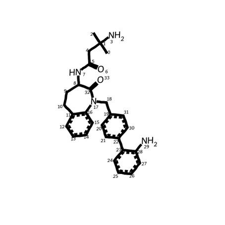 CC(C)(N)CC(=O)NC1CCc2ccccc2N(Cc2ccc(-c3ccccc3N)cc2)C1=O